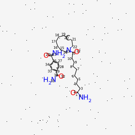 NC(=O)CCCCCCCCC(=O)N1CCCCCCCCC1.NC(=O)c1ccc(C(N)=O)cc1